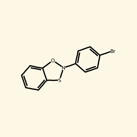 Brc1ccc(N2Oc3ccccc3S2)cc1